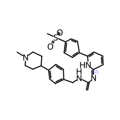 C=C(/N=c1/cccc(-c2ccc(S(C)(=O)=O)cc2)[nH]1)NCc1ccc(C2CCN(C)CC2)cc1